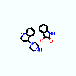 O=C1Nc2ccccc2C1=O.c1ccc2c(N3CCNCC3)ccnc2c1